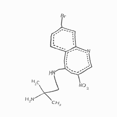 CC(C)(N)CNc1c([N+](=O)[O-])cnc2cc(Br)ccc12